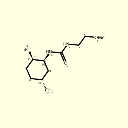 COCCNC(=O)N[C@H]1C[C@H](C)CC[C@H]1C(C)C